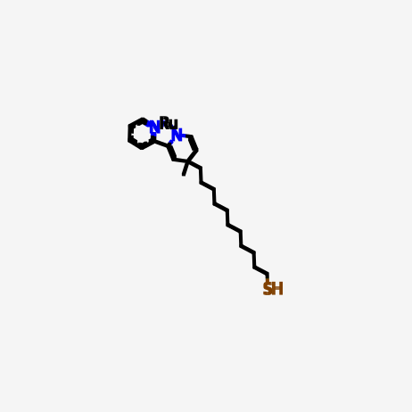 CC1(CCCCCCCCCCCS)C=C[N]2[Ru][n+]3ccccc3C2=C1